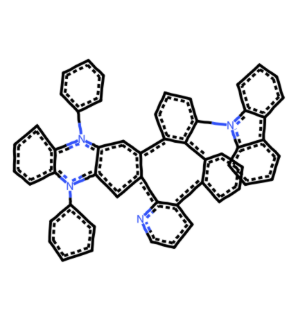 c1ccc(-n2c3ccccc3n(-c3ccccc3)c3cc4c(cc32)c2cccc(-n3c5ccccc5c5ccccc53)c2c2ccccc2c2cccnc24)cc1